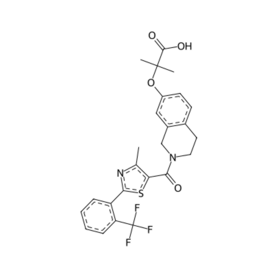 Cc1nc(-c2ccccc2C(F)(F)F)sc1C(=O)N1CCc2ccc(OC(C)(C)C(=O)O)cc2C1